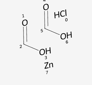 Cl.O=CO.O=CO.[Zn]